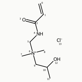 C=CC(=O)NC[N+](C)(C)CC(C)O.[Cl-]